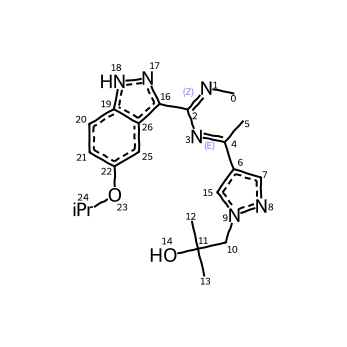 C/N=C(\N=C(/C)c1cnn(CC(C)(C)O)c1)c1n[nH]c2ccc(OC(C)C)cc12